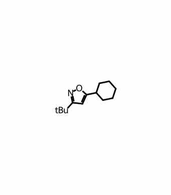 CC(C)(C)c1cc(C2CCCCC2)on1